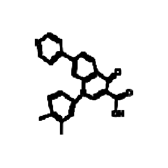 Cc1ccc(-n2cc(C(=O)O)c(=O)c3ccc(-c4ccncc4)cc32)cc1C